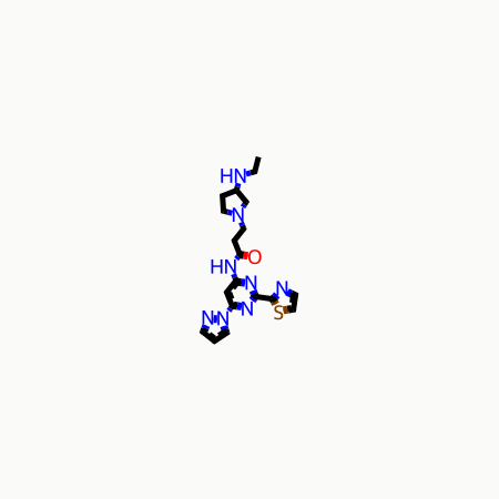 CCNC1CCN(CCC(=O)Nc2cc(-n3cccn3)nc(-c3nccs3)n2)C1